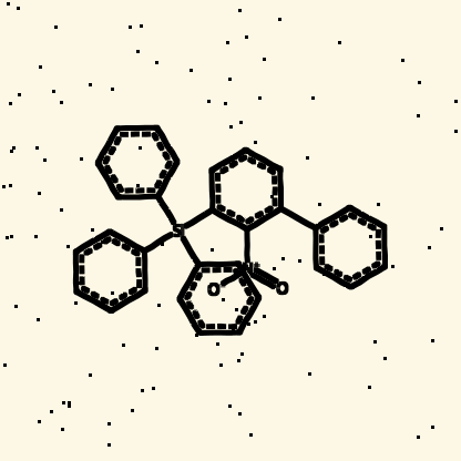 O=[N+]([O-])c1c(-c2ccccc2)cccc1[Si](c1ccccc1)(c1ccccc1)c1ccccc1